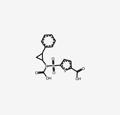 O=C(O)c1ccc(S(=O)(=O)N(C(=O)O)C2CC2c2ccccc2)s1